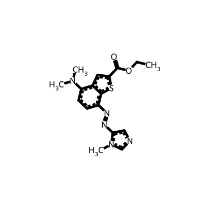 CCOC(=O)c1cc2c(N(C)C)ccc(/N=N/c3cncn3C)c2s1